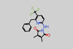 CC1=C(C)C(=O)N(Nc2ccc(C(F)(F)F)c(Cc3ccccc3)n2)C1=O